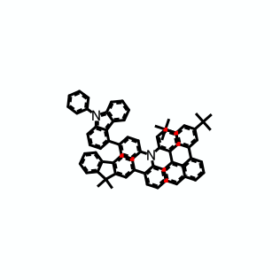 CC(C)(C)c1cc(-c2cccc3cccc(-c4ccccc4N(c4ccc(-c5cccc6c5c5ccccc5n6-c5ccccc5)cc4)c4ccccc4-c4ccc5c(c4)C(C)(C)c4ccccc4-5)c23)cc(C(C)(C)C)c1